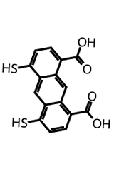 O=C(O)c1ccc(S)c2cc3c(S)ccc(C(=O)O)c3cc12